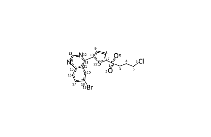 O=S(=O)(CCCCl)c1ccc(-c2ncnc3ccc(Br)cc23)s1